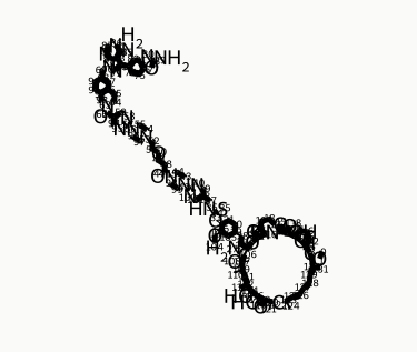 CO[C@H]1C[C@@H]2CC[C@@H](C)[C@@](O)(O2)C(=O)C(=O)N2CCCC[C@H]2C(=O)O[C@H]([C@H](N)C[C@@H]2CC[C@@H](OC(=S)NCc3cnc(N4CCN(C(=O)CCOCCN5CCN(c6ncc(C(=O)N7CCc8cc(Cn9nc(-c%10ccc%11oc(N)nc%11c%10)c%10c(N)ncnc%109)ccc8C7)cn6)CC5)CC4)nc3)[C@H](OC)C2)CC(=O)[C@H](C)/C=C(\C)[C@@H](O)[C@@H](O)C(=O)[C@H](C)C[C@H](C)/C=C/C=C/C=C/1C